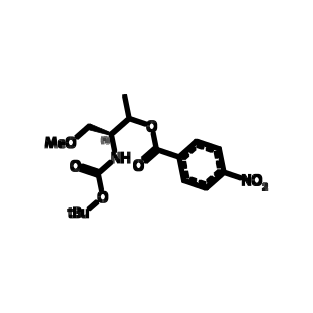 COC[C@H](NC(=O)OC(C)(C)C)C(C)OC(=O)c1ccc([N+](=O)[O-])cc1